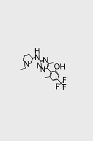 CCN1CCC[C@@H](Nc2nnc(-c3c(C)cc(C(F)(F)F)cc3O)c(C)n2)C1